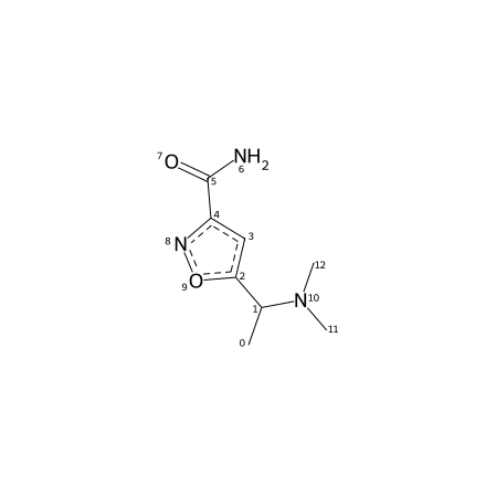 CC(c1cc(C(N)=O)no1)N(C)C